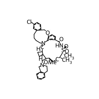 CO[C@@]1(CN2CCc3ccccc3C2)/C=C/C[C@H](C)[C@@H](C)S(=O)(=O)NC(=O)c2ccc3c(c2)N(CCCCc2cc(Cl)ccc2CO3)C[C@@H]2CC[C@H]21